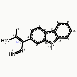 C/C(N)=C(/N=N)c1ccc2c(c1)[nH]c1ccccc12